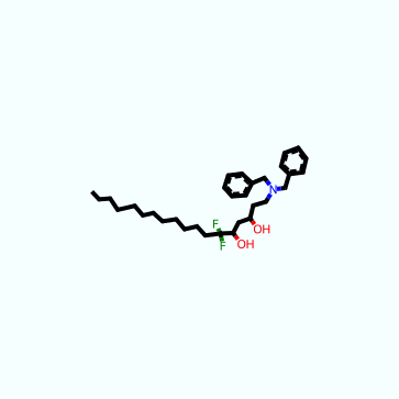 CCCCCCCCCCCCC(F)(F)C(O)CC(O)CCN(Cc1ccccc1)Cc1ccccc1